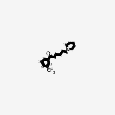 O=C(CCCCCN1CC[CH]CC1)c1cccc(C(F)(F)F)c1